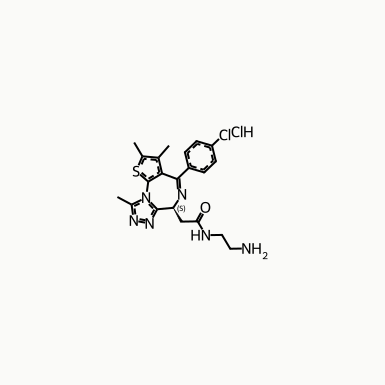 Cc1sc2c(c1C)C(c1ccc(Cl)cc1)=N[C@@H](CC(=O)NCCN)c1nnc(C)n1-2.Cl